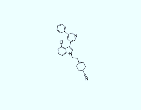 N#CC1CCN(CCn2cc(-c3cncc(-c4ccccc4)c3)c3c(Cl)cccc32)CC1